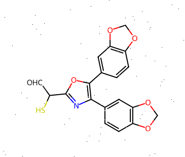 O=CC(S)c1nc(-c2ccc3c(c2)OCO3)c(-c2ccc3c(c2)OCO3)o1